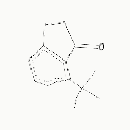 CC(C)(C)c1cccc2c1C(=O)CC2